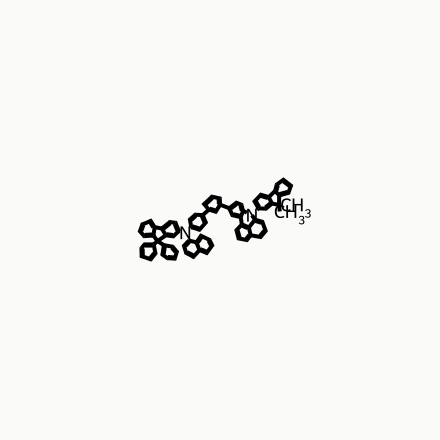 CC1(C)c2ccccc2-c2ccc(N3c4ccc(-c5cccc(-c6ccc(N(c7ccc8c(c7)C(c7ccccc7)(c7ccccc7)c7ccccc7-8)c7cccc8ccccc78)cc6)c5)cc4-c4cccc5cccc3c45)cc21